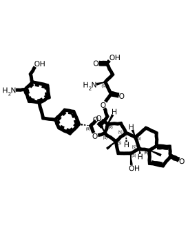 C[C@]12C=CC(=O)C=C1CC[C@@H]1[C@@H]2[C@@H](O)C[C@@]2(C)[C@H]1C[C@H]1O[C@@H](c3ccc(Cc4ccc(CO)c(N)c4)cc3)O[C@]12C(=O)COC(=O)[C@@H](N)CC(=O)O